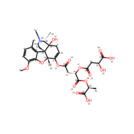 COc1ccc(C)c2c1O[C@H]1C(OC(=O)C[C@H](OC(=O)C[C@H](O)C(=O)O)C(=O)O[C@@H](C)C(=O)O)=CC[C@@]3(O)[C@@H](C)N(C)CC[C@]213